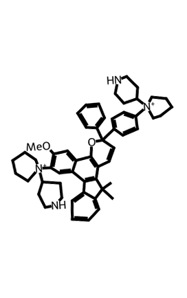 COc1cc2c3c(c4c(c2cc1[N+]1(C2CCNCC2)CCCCC1)-c1ccccc1C4(C)C)C=CC(c1ccccc1)(c1ccc([N+]2(C4CCNCC4)CCCCC2)cc1)O3